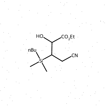 CCCC[Si](C)(C)C(CC#N)C(O)C(=O)OCC